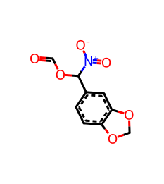 O=COC(c1ccc2c(c1)OCO2)[N+](=O)[O-]